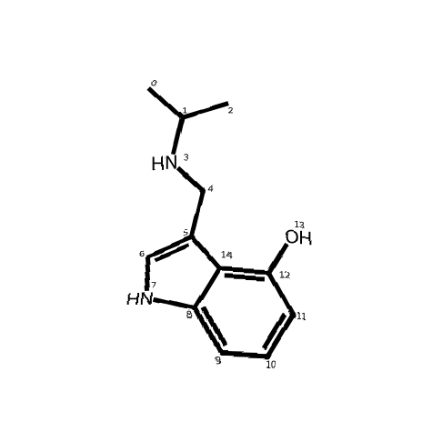 CC(C)NCc1c[nH]c2cccc(O)c12